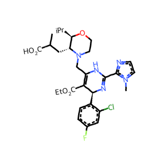 CCOC(=O)C1=C(CN2CCO[C@H](C(C)C)[C@H]2CC(C)C(=O)O)NC(c2nccn2C)=N[C@H]1c1ccc(F)cc1Cl